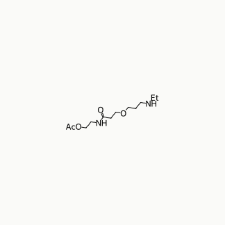 CCNCCCOCCC(=O)NCCOC(C)=O